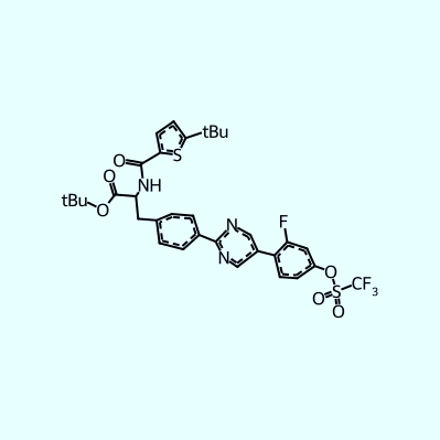 CC(C)(C)OC(=O)C(Cc1ccc(-c2ncc(-c3ccc(OS(=O)(=O)C(F)(F)F)cc3F)cn2)cc1)NC(=O)c1ccc(C(C)(C)C)s1